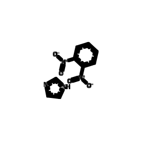 O=[N+]([O-])c1ccccc1[N+](=O)[O-].c1c[nH]cn1